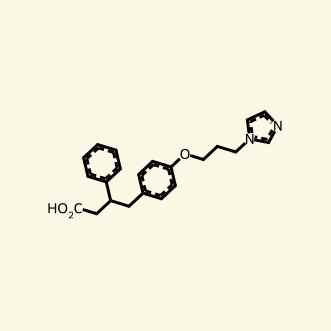 O=C(O)CC(Cc1ccc(OCCCn2ccnc2)cc1)c1ccccc1